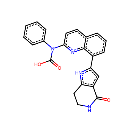 O=C1NCCc2[nH]c(-c3cccc4ccc(N(C(=O)O)c5ccccc5)nc34)cc21